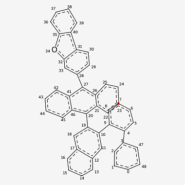 c1ccc(-c2ccccc2-c2cc3ccccc3cc2-c2c3ccccc3c(-c3ccc4c(c3)oc3ccccc34)c3ccccc23)cc1